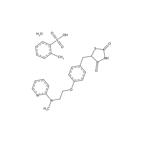 CN(CCOc1ccc(CC2SC(=O)NC2=O)cc1)c1ccccn1.Cc1ccccc1S(=O)(=O)O.O